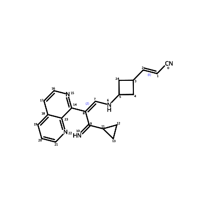 N#C/C=C/C1CC(N/C=C(\C(=N)C2CC2)c2nccc3cccnc23)C1